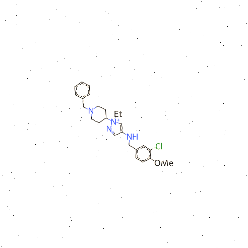 CC[N+]1(C2CCN(Cc3ccccc3)CC2)C=C(NCc2ccc(OC)c(Cl)c2)C=N1